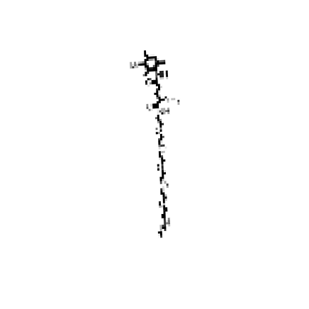 Cc1cc(C)c(NC(=O)CCC(N)C(=O)NCCOCCOCCOCCOCCOCCN=[N+]=[N-])c(C)c1Br